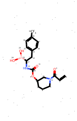 C=CC(=O)N1CCCC(OC(=O)NC(Cc2ccc(C(F)(F)F)cc2)B(O)O)C1